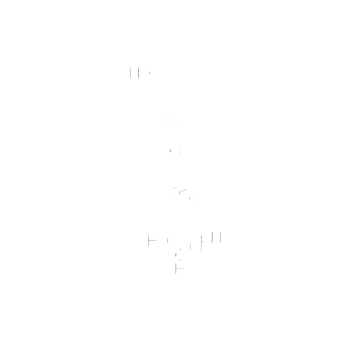 CCCCCOCCOCCCC(=O)OCCC(C)CC(C)(C)C